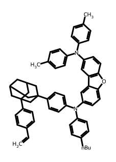 C=Cc1ccc(C23CC4CC(C2)CC(c2ccc(N(c5ccc(CCCC)cc5)c5ccc6oc7ccc(N(c8ccc(C)cc8)c8ccc(C)cc8)cc7c6c5)cc2)(C4)C3)cc1